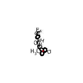 CC1(c2ccccc2)CN(C(=O)Nc2ccc(OC(F)F)cc2)N=C1c1ccc(Cl)cc1